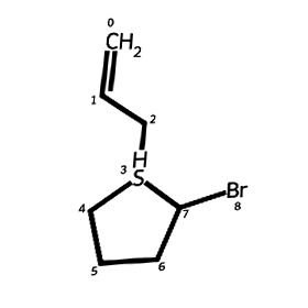 C=CC[SH]1CCCC1Br